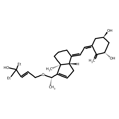 C=C1C(=CC=C2CCC[C@]3(C)C([C@H](C)OC/C=C/C(O)(CC)CC)=CC[C@@H]23)C[C@@H](O)C[C@@H]1O